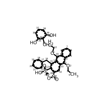 CCOc1c2ccccc2c(OCC)c2c(Cc3ccccc3)c(S(=O)(=O)O)c([N+](=O)[O-])cc12.Oc1cccc(O)c1O